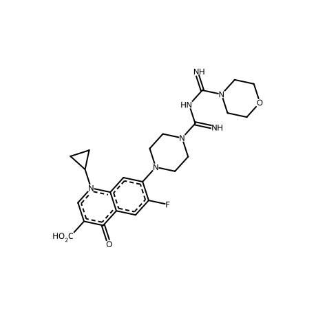 N=C(NC(=N)N1CCN(c2cc3c(cc2F)c(=O)c(C(=O)O)cn3C2CC2)CC1)N1CCOCC1